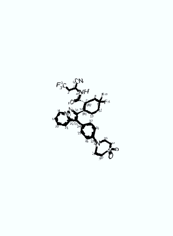 N#CC(CC(F)(F)F)NC(=O)[C@@H]1CC(F)(F)CC[C@H]1c1nn2ccccc2c1-c1ccc(N2CCS(=O)(=O)CC2)cc1